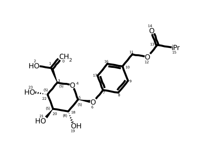 C=C(O)[C@H]1O[C@@H](Oc2ccc(COC(=O)C(C)C)cc2)[C@H](O)[C@@H](O)[C@@H]1O